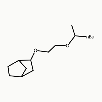 CCCCC(C)OCCOC1CC2CCC1C2